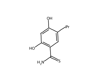 CC(C)c1cc(C(N)=S)c(O)cc1O